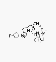 COCC1CCc2c(cnn2-c2ccc(F)cc2)N1C(=O)Cn1nc(C(F)(F)F)c(Cl)c1C